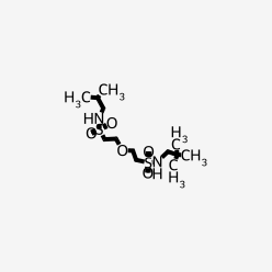 CC(C)CNS(=O)(=O)CCOCCS(=O)(=O)NCC(C)(C)C